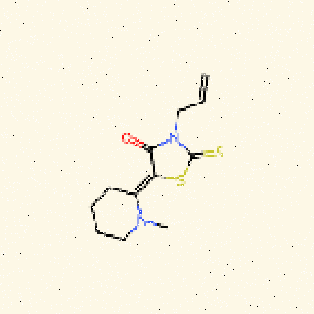 C=CCN1C(=O)C(=C2CCCCN2C)SC1=S